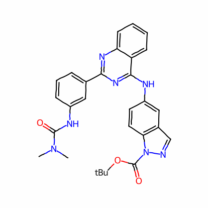 CN(C)C(=O)Nc1cccc(-c2nc(Nc3ccc4c(cnn4C(=O)OC(C)(C)C)c3)c3ccccc3n2)c1